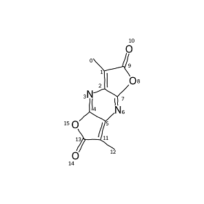 CC1=c2nc3c(nc2OC1=O)=C(C)C(=O)O3